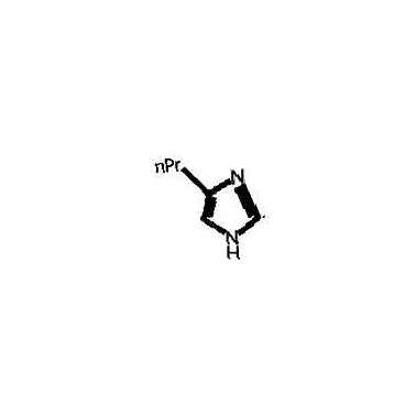 CCCc1c[nH][c]n1